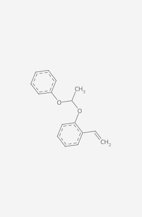 C=Cc1ccccc1OC(C)Oc1ccccc1